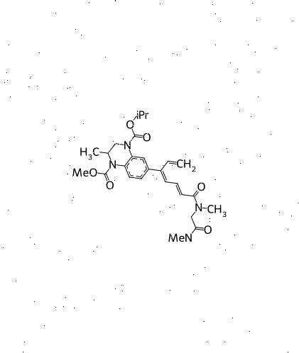 C=C/C(=C\C=C\C(=O)N(C)CC(=O)NC)c1ccc2c(c1)N(C(=O)OC(C)C)CC(C)N2C(=O)OC